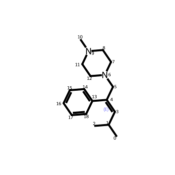 CC(C)/C=C(/CN1CCN(C)CC1)c1ccccc1